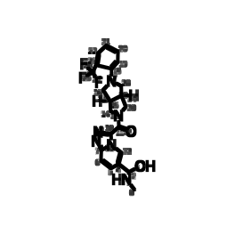 CNC(O)c1ccc2nnc(C(=O)N3C[C@@H]4CN(c5ccccc5C(F)(F)F)C[C@@H]4C3)n2c1